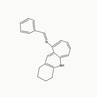 C1=CC=C2NC3=C(C=C2C(/N=C/c2ccccc2)=C1)CCCC3